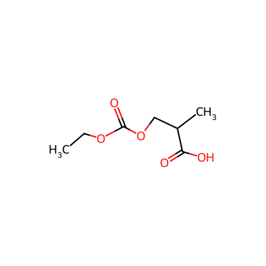 CCOC(=O)OCC(C)C(=O)O